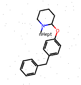 CCCCCCCN1CCCCC1Oc1ccc(Cc2ccccc2)cc1